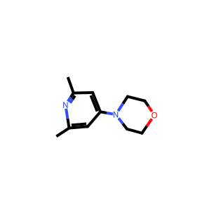 Cc1cc(N2CCOCC2)cc(C)n1